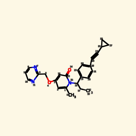 Cc1cc(OCc2ncccn2)cc(=O)n1C(CC(F)(F)F)c1ccc(C#CC2CC2)cc1